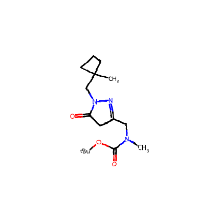 CN(CC1=NN(CC2(C)CCC2)C(=O)C1)C(=O)OC(C)(C)C